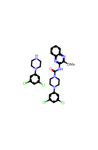 COc1nc2ccccc2nc1NC(=O)N1CCN(c2cc(Cl)cc(Cl)c2)CC1.Clc1cc(Cl)cc(N2CCNCC2)c1